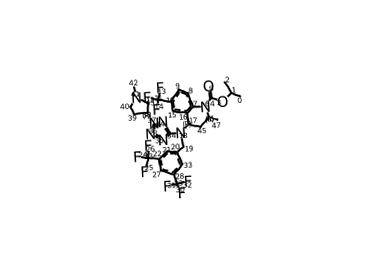 CC(C)OC(=O)N1c2ccc(C(F)(F)F)cc2[C@H](N(Cc2cc(C(F)(F)F)cc(C(F)(F)F)c2)c2nnn([C@@H]3CCN(C)C3)n2)C[C@@H]1C